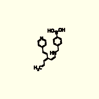 C=C/C=C(\C=C/NCc1ccc(B(O)O)cc1)/C=C/c1ccncc1